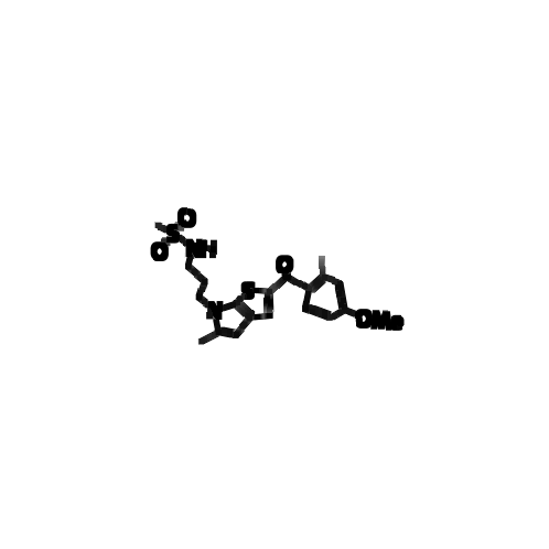 COc1ccc(C(=O)c2cc3cc(C)n(CCCNS(C)(=O)=O)c3s2)c(C)c1